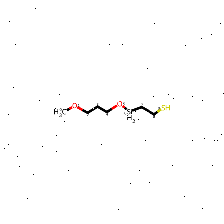 COCCCO[SiH2]CCS